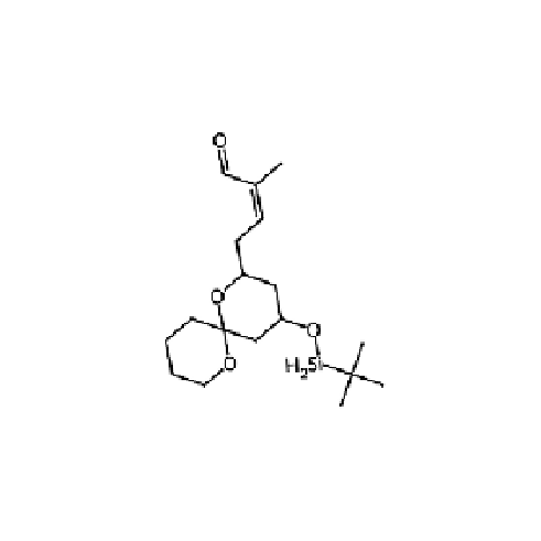 CC(C=O)=CCC1CC(O[SiH2]C(C)(C)C)CC2(CCCCO2)O1